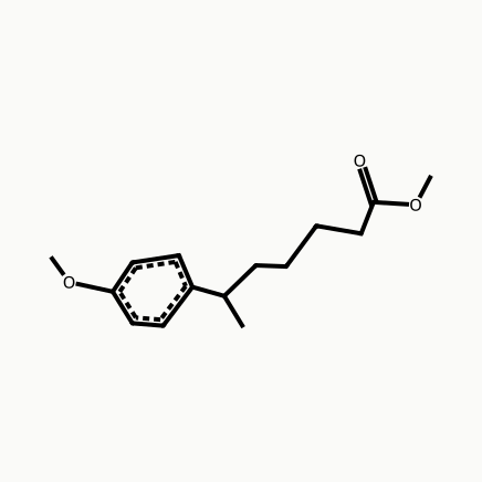 COC(=O)CCCCC(C)c1ccc(OC)cc1